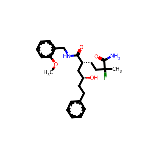 COc1ccccc1CNC(=O)[C@H](CCC(C)(F)C(N)=O)C[C@@H](O)[CH]Cc1ccccc1